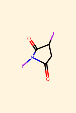 O=C1CC(I)C(=O)N1I